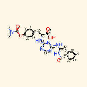 CN(C)C(=O)Oc1ccc(C[C@H](Nc2ncnc(NC(Cc3ccccc3)NC=O)n2)C(=O)O)cc1